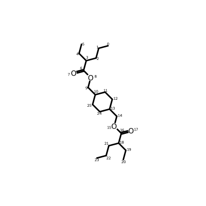 CCCC(CC)C(=O)OCC1CCC(COC(=O)C(CC)CCC)CC1